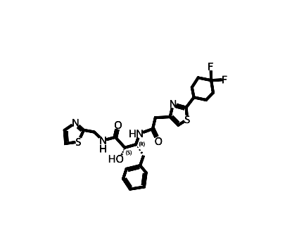 O=C(Cc1csc(C2CCC(F)(F)CC2)n1)N[C@H](Cc1ccccc1)[C@H](O)C(=O)NCc1nccs1